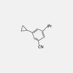 [CH2]C(C)c1cc(C#N)cc(C2CC2)c1